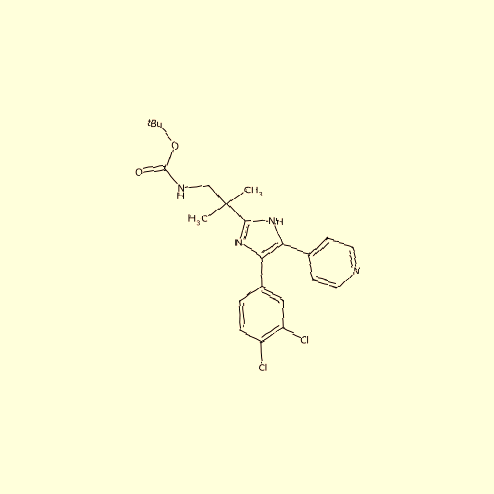 CC(C)(C)OC(=O)NCC(C)(C)c1nc(-c2ccc(Cl)c(Cl)c2)c(-c2ccncc2)[nH]1